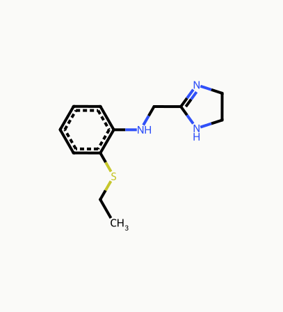 CCSc1ccccc1NCC1=NCCN1